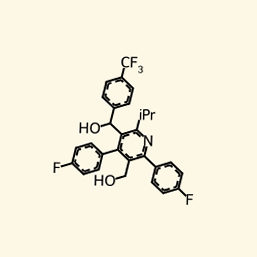 CC(C)c1nc(-c2ccc(F)cc2)c(CO)c(-c2ccc(F)cc2)c1C(O)c1ccc(C(F)(F)F)cc1